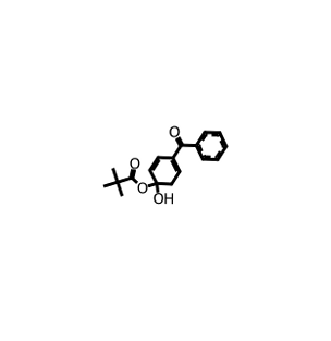 CC(C)(C)C(=O)OC1(O)C=CC(C(=O)c2ccccc2)=CC1